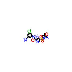 Cn1cc(S(=O)(=O)NC2(C)COC2)cc1C(=O)Nc1cc(Cl)cc(C#N)c1